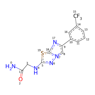 NC(=O)CNc1nn2cc(-c3cccc(C(F)(F)F)c3)nc2s1